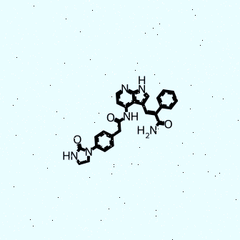 NC(=O)/C(=C/c1c[nH]c2nccc(NC(=O)Cc3ccc(N4CCNC4=O)cc3)c12)c1ccccc1